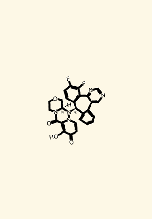 O=C1c2c(O)c(=O)ccn2N([C@@H]2c3ccccc3-c3cncnc3-c3c2ccc(F)c3F)[C@@H]2COCCN12